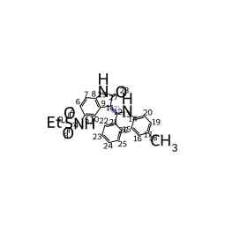 CCS(=O)(=O)Nc1ccc2c(c1)/C(=C(/Nc1ccc(C)cc1)c1ccccc1)C(=O)N2